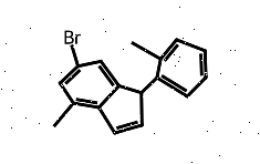 Cc1ccccc1C1C=Cc2c(C)cc(Br)cc21